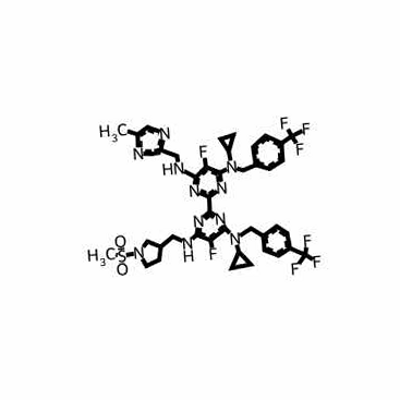 Cc1cnc(CNc2nc(-c3nc(NCC4CCN(S(C)(=O)=O)C4)c(F)c(N(Cc4ccc(C(F)(F)F)cc4)C4CC4)n3)nc(N(Cc3ccc(C(F)(F)F)cc3)C3CC3)c2F)cn1